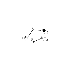 CCCCN.CCN